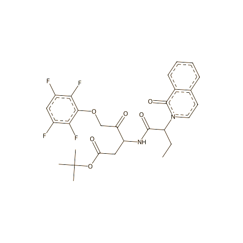 CCC(C(=O)NC(CC(=O)OC(C)(C)C)C(=O)COc1c(F)c(F)cc(F)c1F)n1ccc2ccccc2c1=O